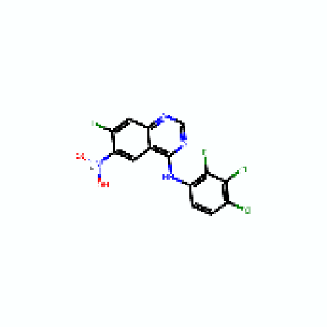 [O-][N@@H+](O)c1cc2c(Nc3ccc(Cl)c(Cl)c3F)ncnc2cc1F